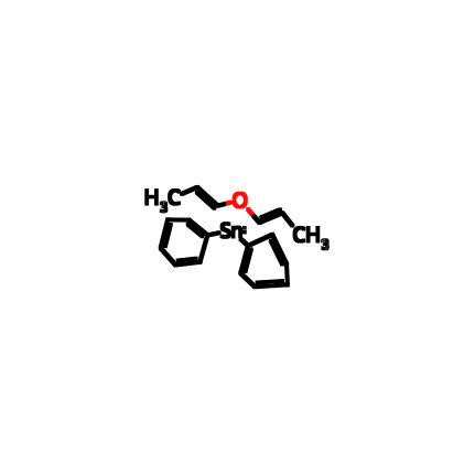 CC=COC=CC.c1cc[c]([Sn][c]2ccccc2)cc1